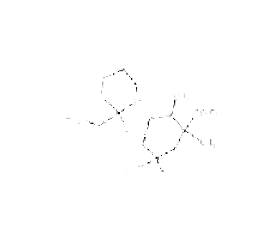 CCOC(=O)C1(C)CC(C)(C)CCC1C.CCOC(=O)CC1(C)OCCCO1